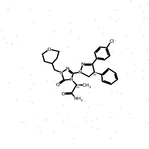 C[C@@H](C(N)=O)n1c(N2C[C@H](c3ccccc3)C(c3ccc(Cl)cc3)=N2)nn(CC2CCOCC2)c1=O